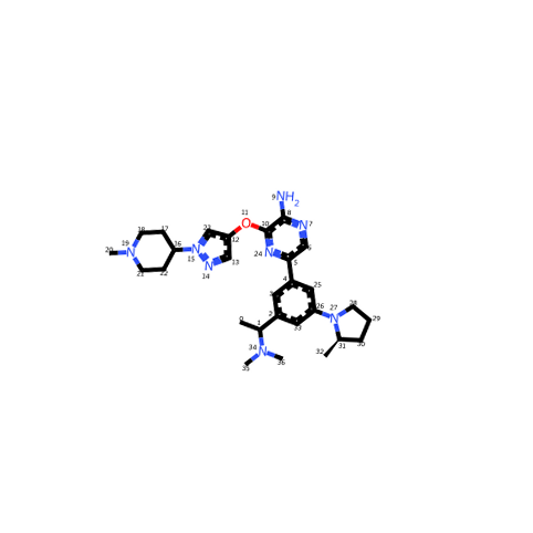 CC(c1cc(-c2cnc(N)c(Oc3cnn(C4CCN(C)CC4)c3)n2)cc(N2CCC[C@H]2C)c1)N(C)C